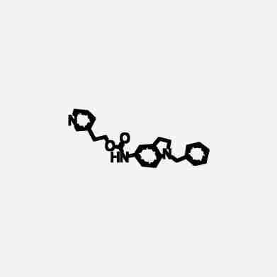 O=C(Nc1ccc2c(c1)CCN2Cc1ccccc1)OCCc1cccnc1